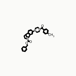 Cc1ccc(C(=O)N2CCN(c3ccc4c(c3)C3CC4CCN3C(=O)OCc3ccccc3)CC2)cc1